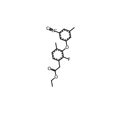 [C-]#[N+]c1cc(C)cc(Oc2c(C)ccc(CC(=O)OCC)c2F)c1